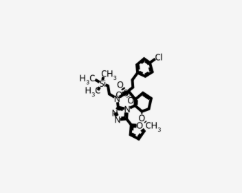 CO[C@H]1CC=CC(C=O)=C1n1c(-c2ccco2)nnc1N(CC[Si](C)(C)C)S(=O)(=O)CCc1ccc(Cl)cc1